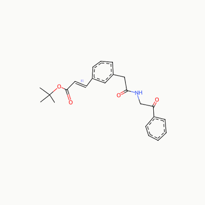 CC(C)(C)OC(=O)/C=C/c1cccc(CC(=O)NCC(=O)c2ccccc2)c1